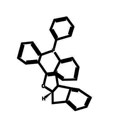 c1ccc(P(c2ccccc2)c2ccccc2C2=NC3c4ccccc4C[C@H]3O2)cc1